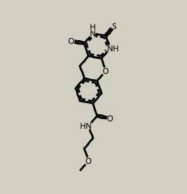 COCCNC(=O)c1ccc2c(c1)Oc1[nH]c(=S)[nH]c(=O)c1C2